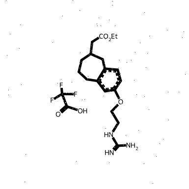 CCOC(=O)CC1CCCc2cc(OCCNC(=N)N)ccc2C1.O=C(O)C(F)(F)F